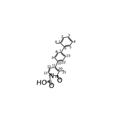 Cc1ccccc1-c1ccc(-c2ccn(C(=O)O)c(=O)c2C)cc1